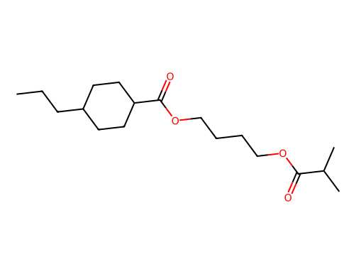 CCCC1CCC(C(=O)OCCCCOC(=O)C(C)C)CC1